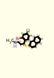 CNCCC(Sc1ccc2ccccc2c1)c1ccc(Cl)cc1Br